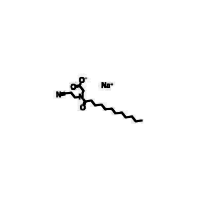 CCCCCCCCCCCC(=O)N(CCC#N)CC(=O)[O-].[Na+]